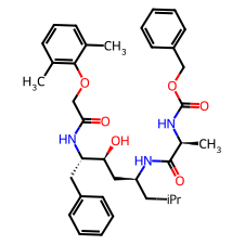 Cc1cccc(C)c1OCC(=O)N[C@@H](Cc1ccccc1)[C@@H](O)C[C@H](CC(C)C)NC(=O)[C@H](C)NC(=O)OCc1ccccc1